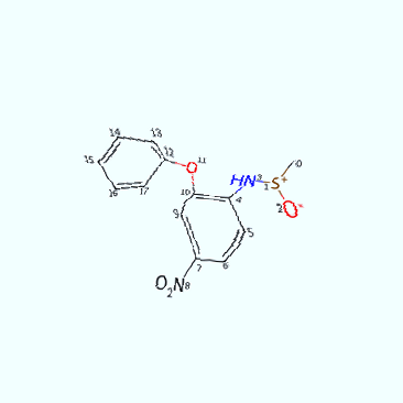 C[S+]([O-])Nc1ccc([N+](=O)[O-])cc1Oc1ccccc1